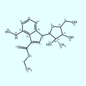 CCOC(=O)c1cn(C2OC(CO)C(O)[C@@]2(C)O)c2ncnc(NO)c12